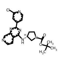 CC(C)(C)OC(=O)N1CC[C@@H](Nc2nc(-c3ccnc(Cl)c3)nc3cnccc23)C1